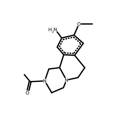 COc1cc2c(cc1N)C1CN(C(C)=O)CCN1CC2